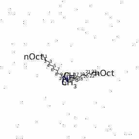 CCCCCCCCC=CCCCCCCCC[N+](C)(C)CCCCCCCCC=CCCCCCCCC